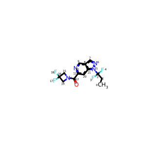 CCC(F)(F)n1ncc2cnc(C(=O)N3CC(F)(F)C3)cc21